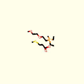 CC[P+](C)(CC)CCOCCOC.CSCCC(=O)[O-]